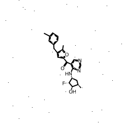 [CH2][C@@H]1C[C@@H](Nc2ncncc2C(=O)c2cc(Cc3cccc(C)c3)c(C)o2)[C@@H](F)[C@@H]1O